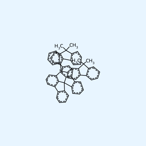 CC1(C)c2ccccc2-c2ccc(N(c3cccc4c3-c3ccccc3C4(C)C)c3cccc4c3C3(c5ccccc5-c5ccc(-c6ccccc6)cc53)c3ccccc3-4)cc21